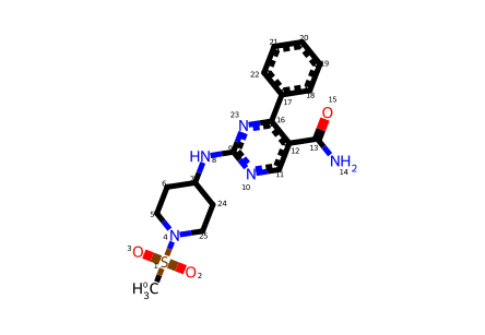 CS(=O)(=O)N1CCC(Nc2ncc(C(N)=O)c(-c3ccccc3)n2)CC1